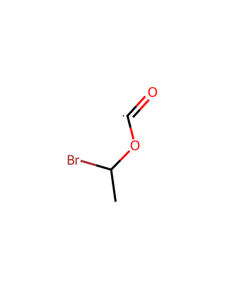 CC(Br)O[C]=O